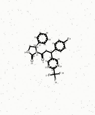 O=C(CC(c1ccc(F)cc1)c1cnc(C(F)(F)F)nc1)N1C(=O)OC[C@H]1c1ccccc1